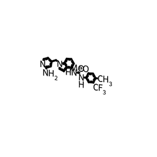 COc1cc(C)c(C(F)(F)F)cc1NC(=O)Nc1cccc2c1ccn2Cc1ccnc(N)c1